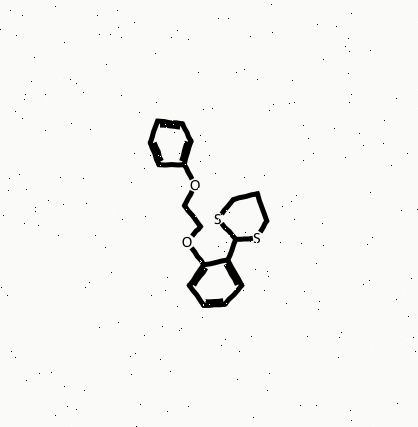 c1ccc(OCCOc2ccccc2C2SCCCS2)cc1